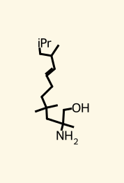 CC(C)CC(C)/C=C/CCC(C)(C)CC(C)(N)CO